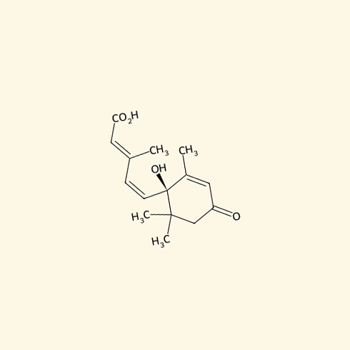 CC1=CC(=O)CC(C)(C)[C@]1(O)/C=C\C(C)=C\C(=O)O